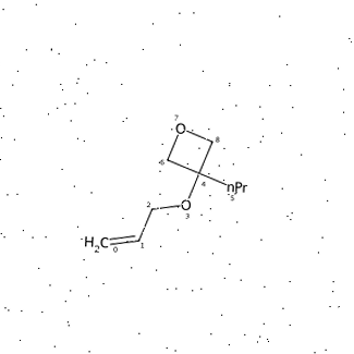 C=CCOC1(CCC)COC1